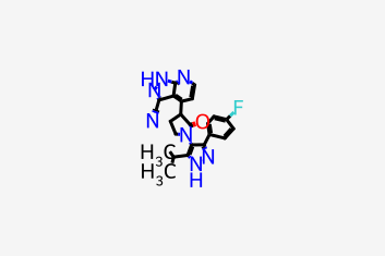 CC(C)c1[nH]nc(-c2ccc(F)cc2)c1N1CCC(c2ccnc3[nH]nc(C#N)c23)C1=O